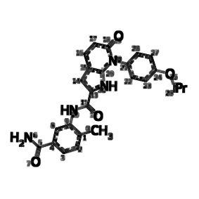 Cc1ccc(C(N)=O)cc1NC(=O)c1cc2ccc(=O)n(-c3ccc(OC(C)C)cc3)c2[nH]1